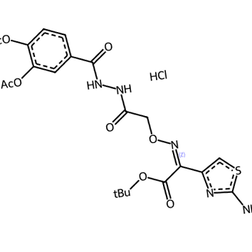 CC(=O)Oc1ccc(C(=O)NNC(=O)CO/N=C(\C(=O)OC(C)(C)C)c2csc(N)n2)cc1OC(C)=O.Cl